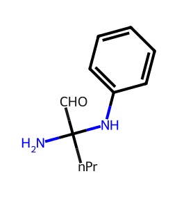 CCCC(N)(C=O)Nc1ccccc1